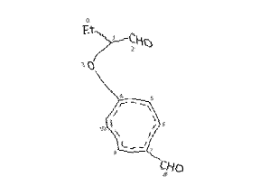 CCC(C=O)Oc1ccc(C=O)cc1